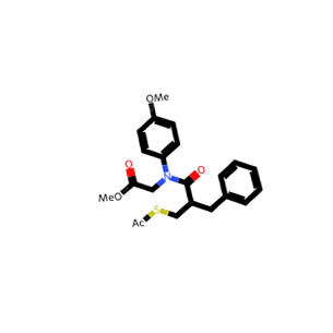 COC(=O)CN(C(=O)C(CSC(C)=O)Cc1ccccc1)c1ccc(OC)cc1